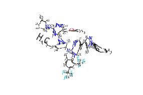 CC[C@@H]1C[C@H](N(Cc2cc(C(F)(F)F)cc(C(F)(F)F)c2)c2ncc(-c3cnn(C)c3)cn2)CN1c1nc(N2CCCCC2)ncc1COC